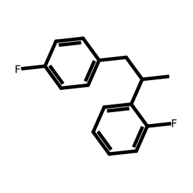 C[C](Cc1ccc(F)cc1)c1ccccc1F